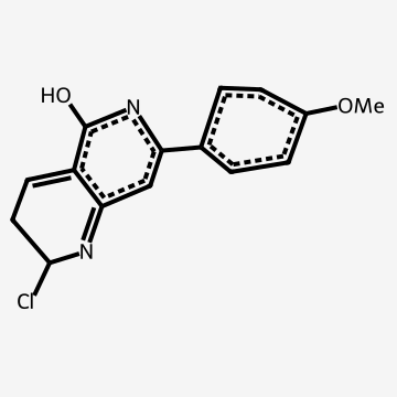 COc1ccc(-c2cc3c(c(O)n2)=CCC(Cl)N=3)cc1